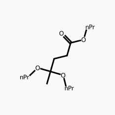 CCCOC(=O)CCC(C)(OCCC)OCCC